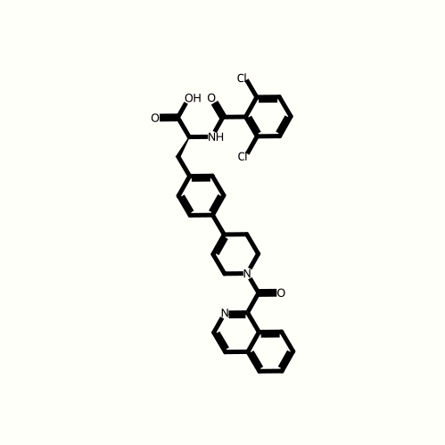 O=C(N[C@@H](Cc1ccc(C2=CCN(C(=O)c3nccc4ccccc34)CC2)cc1)C(=O)O)c1c(Cl)cccc1Cl